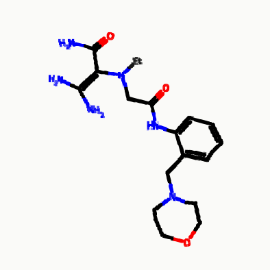 CCN(CC(=O)Nc1ccccc1CN1CCOCC1)C(C(N)=O)=C(N)N